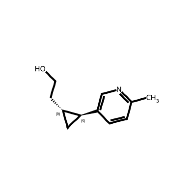 Cc1ccc([C@H]2C[C@@H]2CCO)cn1